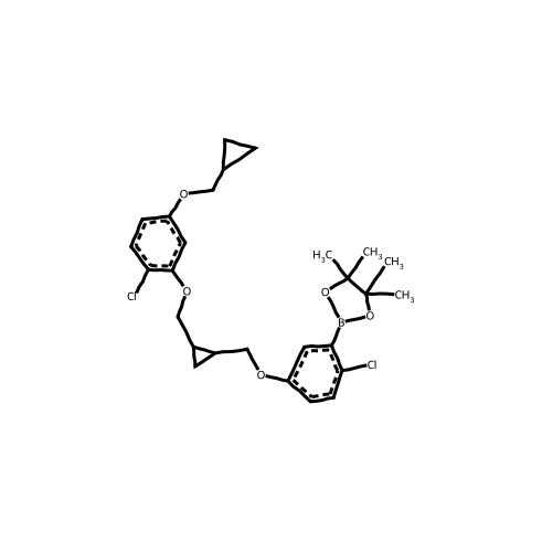 CC1(C)OB(c2cc(OCC3CC3COc3cc(OCC4CC4)ccc3Cl)ccc2Cl)OC1(C)C